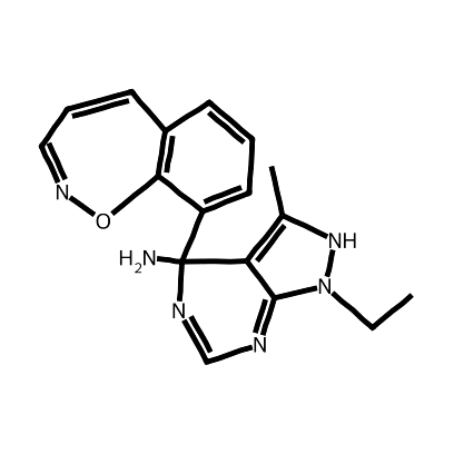 CCN1NC(C)=C2C1=NC=NC2(N)c1cccc2c1ON=CC=C2